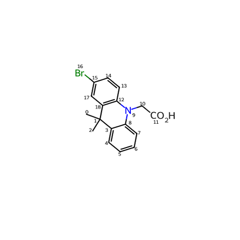 CC1(C)c2ccccc2N(CC(=O)O)c2ccc(Br)cc21